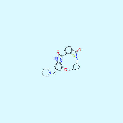 O=c1[nH]c2cc(CN3CCCCC3)cc3c2nc1-c1cccc2c(=O)n(sc12)[C@H]1CCC(CO3)C1